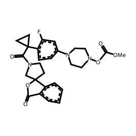 COC(=O)ON1CCN(c2ccc(C3(C(=O)N4CCC5(C4)OC(=O)c4ccccc45)CC3)c(F)c2)CC1